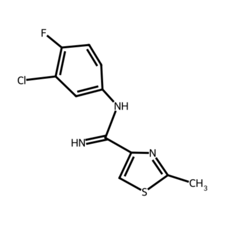 Cc1nc(C(=N)Nc2ccc(F)c(Cl)c2)cs1